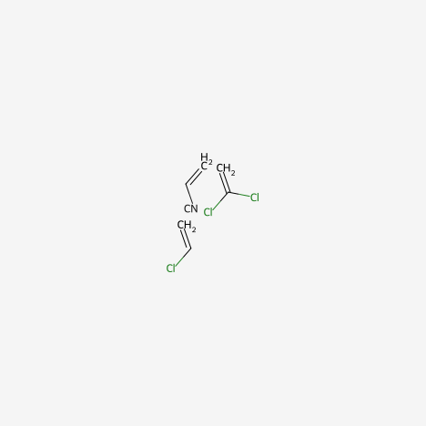 C=C(Cl)Cl.C=CC#N.C=CCl